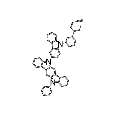 C#C/C=C\C(=C/C)c1cccc(-n2c3ccccc3c3cc(-n4c5ccccc5c5cc6c(cc54)c4ccccc4n6-c4ccccc4)ccc32)c1